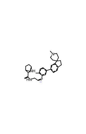 C=C(NC/C=P\c1cc(-c2ccc3c(c2)C2(CC3)CCN(C)CC2)ccc1C)C1NC2CCC1C2